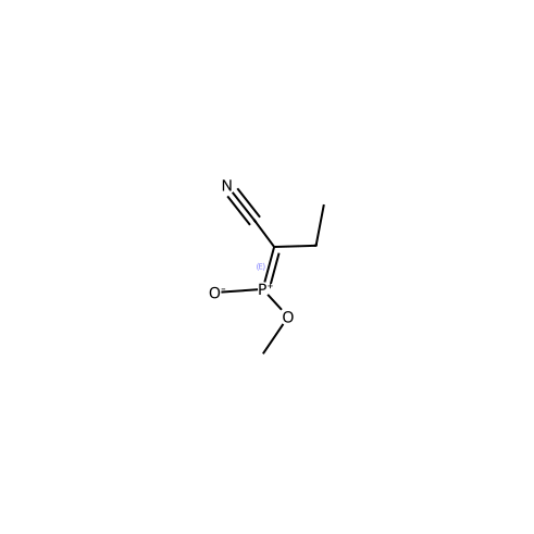 CC/C(C#N)=[P+](/[O-])OC